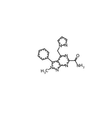 Cn1nc2nc(C(N)=O)nc(Cn3cccn3)c2c1-c1ccccc1